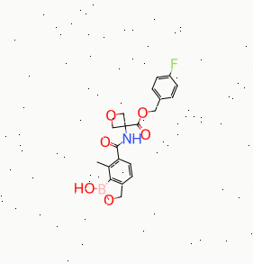 Cc1c(C(=O)NC2(C(=O)OCc3ccc(F)cc3)COC2)ccc2c1B(O)OC2